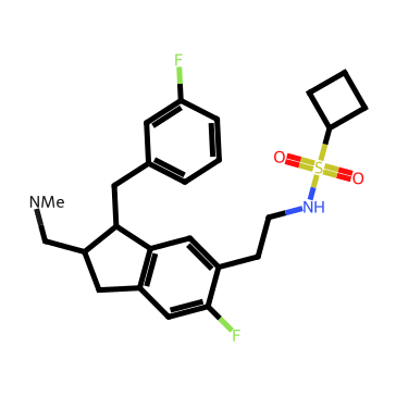 CNCC1Cc2cc(F)c(CCNS(=O)(=O)C3CCC3)cc2C1Cc1cccc(F)c1